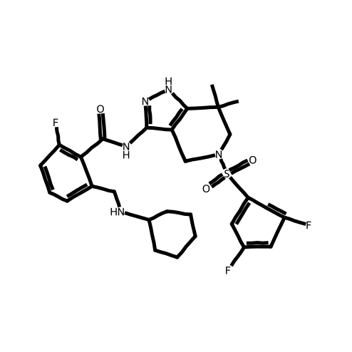 CC1(C)CN(S(=O)(=O)c2cc(F)cc(F)c2)Cc2c(NC(=O)c3c(F)cccc3CNC3CCCCC3)n[nH]c21